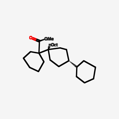 CCCCCCCC[C@]1(C2(C(=O)OC)CCCCC2)CC[C@@H](C2CCCCC2)CC1